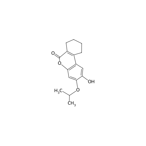 CC(C)Oc1cc2oc(=O)c3c(c2cc1O)CCCC3